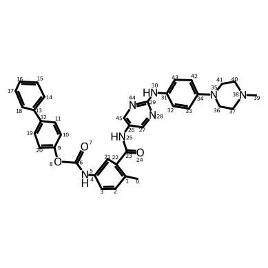 Cc1ccc(NC(=O)Oc2ccc(-c3ccccc3)cc2)cc1C(=O)Nc1cnc(Nc2ccc(N3CCN(C)CC3)cc2)nc1